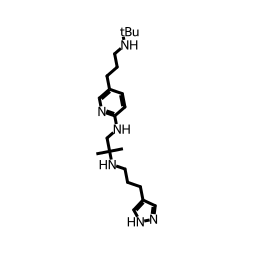 CC(C)(C)NCCCc1ccc(NCC(C)(C)NCCCc2cn[nH]c2)nc1